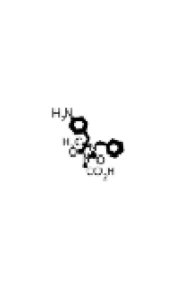 CC1(Cc2ccc(N)cc2)C(=O)N(CC(=O)O)C(=O)N1Cc1ccccc1